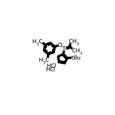 C[C](C)=[Ti]([O]c1cc(C)cc(C)c1)[C]1=C(C(C)(C)C)C=CC1.Cl.Cl